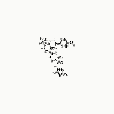 COc1ncc(N2CCc3c(C(F)(F)F)ccc(N4CCN(C(=O)Cn5nc(C)nc5C)C(C)C4)c3C2)cn1